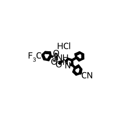 Cl.N#Cc1ccc(C2=NN(C(=O)NS(=O)(=O)c3ccc(C(F)(F)F)cc3)CC2c2ccccc2)cc1